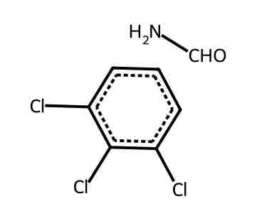 Clc1cccc(Cl)c1Cl.NC=O